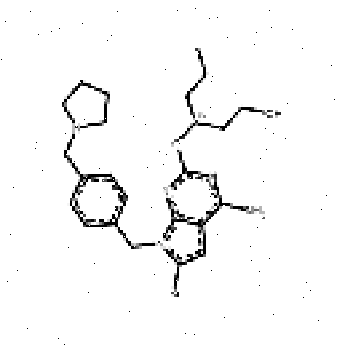 CCC[C@@H](CCO)Oc1nc(N)c2cc(Br)n(Cc3ccc(CN4CCCC4)cc3)c2n1